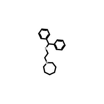 c1ccc(C(SCCN2CCCCCC2)c2ccccc2)cc1